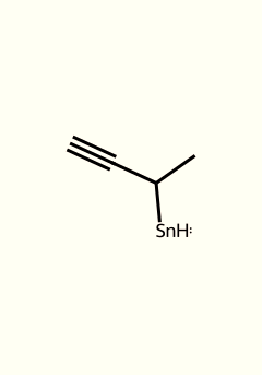 C#C[CH](C)[SnH]